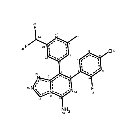 Cc1cc(-c2c(-c3ccc(Cl)cc3F)nc(N)n3cnnc23)cc(C(F)F)n1